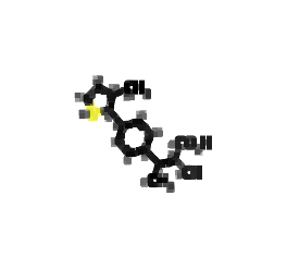 CC(=C(C#N)C(=O)O)c1ccc(-c2sccc2C)cc1